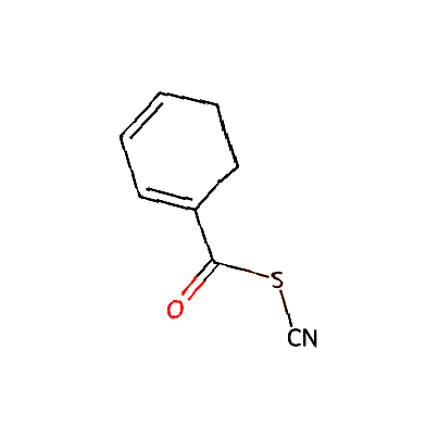 N#CSC(=O)C1=CC=CCC1